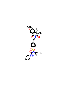 COc1ccc2c(c1)C(=O)N(CCc1ccc(S(=O)(=O)N(C(=O)NC3CCCCC3)C(C)C)cc1)C(=O)C2(C)C